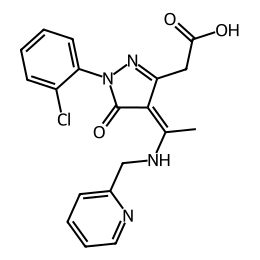 CC(NCc1ccccn1)=C1C(=O)N(c2ccccc2Cl)N=C1CC(=O)O